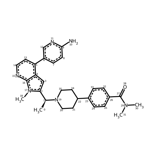 C[C@@H](c1cc2c(-c3ccc(N)nc3)ccnc2n1C)N1CCC(c2ccc(C(=O)N(C)C)cc2)CC1